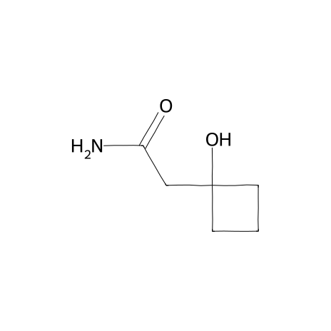 NC(=O)CC1(O)CCC1